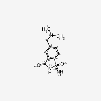 CN(C)Cc1ccc2c(c1)C(=O)NS2(=N)=O